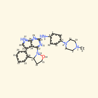 CCN1CCN(c2ccc(Nc3nc(N4OCC[C@H]4c4ccccc4)c4cc[nH]c4n3)cc2)CC1